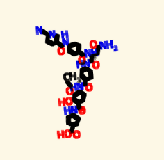 CCCOc1c(NC(=O)c2ccc(NC(=O)[C@H](CC(N)=O)NC(=O)c3ccc(NC(=O)c4ccc(C#N)nc4)cc3)cc2)ccc(C(=O)Nc2ccc(C(=O)O)cc2)c1O